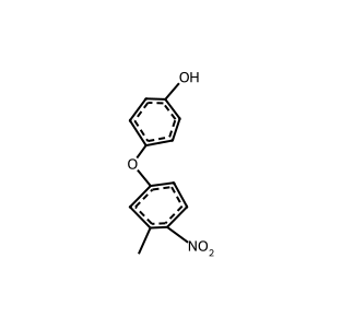 Cc1cc(Oc2ccc(O)cc2)ccc1[N+](=O)[O-]